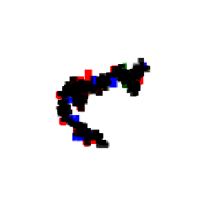 C=c1ccc2c(c1)Oc1cc(N(C)C)ccc1C=2c1cc(Cl)c(C(=O)NCc2ccc(C(=O)NCc3c(O)ccc4c(-c5cc(C(=O)NCc6ccc(C(=O)NCC#CCc7cn([C@H]8CC[C@@H](CC)O8)c(=O)[nH]c7=O)cc6)ccc5C(=O)O)c5ccc(=O)cc-5oc34)cc2)cc1Cl